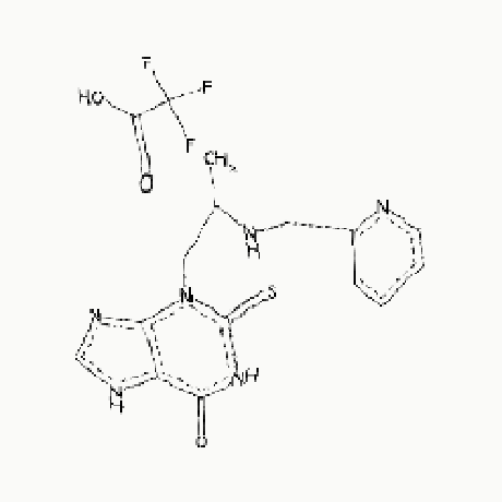 CC(Cn1c(=S)[nH]c(=O)c2[nH]cnc21)NCc1ccccn1.O=C(O)C(F)(F)F